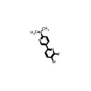 CN(C)c1ccc(-c2ccc(Br)c(F)n2)cn1